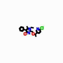 CCn1c(COC(C)c2ccc(Cl)nc2)nc(=O)c(-c2ccccc2)c1C